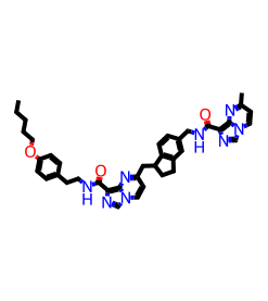 CCCCCOc1ccc(CCNC(=O)c2ncn3ccc(CC4CCc5cc(CNC(=O)c6ncn7ccc(C)nc67)ccc54)nc23)cc1